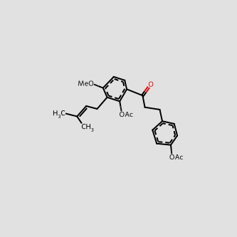 COc1ccc(C(=O)CCc2ccc(OC(C)=O)cc2)c(OC(C)=O)c1CC=C(C)C